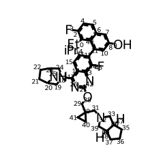 CCc1c(F)ccc2cc(O)cc(-c3c(C(C)C)cc4c(N5CC6CCC(C5)N6)nc(OCC5(CN6C[C@H]7CCC[C@H]7C6)CC5)nc4c3F)c12